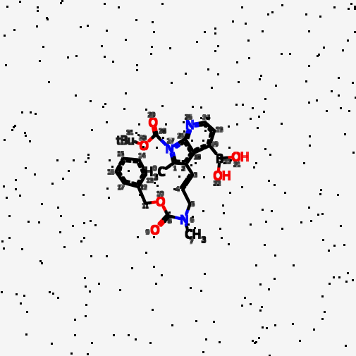 Cc1c(C=CCN(C)C(=O)OCc2ccccc2)c2c(B(O)O)ccnc2n1C(=O)OC(C)(C)C